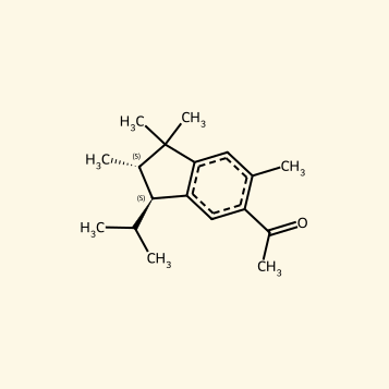 CC(=O)c1cc2c(cc1C)C(C)(C)[C@@H](C)[C@@H]2C(C)C